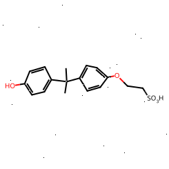 CC(C)(c1ccc(O)cc1)c1ccc(OCCS(=O)(=O)O)cc1